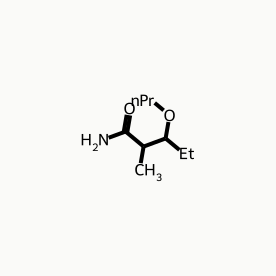 CCCOC(CC)C(C)C(N)=O